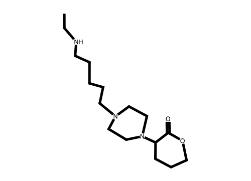 CCNCCCCCN1CCN(C2CCCOC2=O)CC1